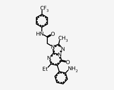 CCc1nc2n(CC(=O)Nc3ccc(C(F)(F)F)cc3)c(C)nn2c(=O)c1-c1ccccc1N